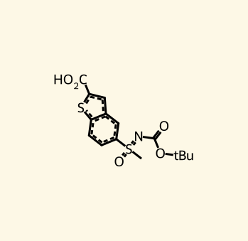 CC(C)(C)OC(=O)N=S(C)(=O)c1ccc2sc(C(=O)O)cc2c1